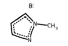 Cn1cccn1.[B]